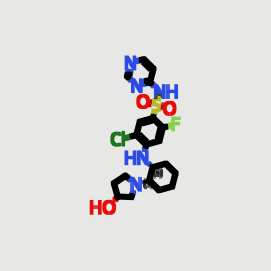 O=S(=O)(Nc1ccncn1)c1cc(Cl)c(N[C@H]2CCCC[C@@H]2N2CCC(O)C2)cc1F